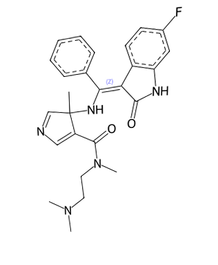 CN(C)CCN(C)C(=O)C1=CN=CC1(C)N/C(=C1\C(=O)Nc2cc(F)ccc21)c1ccccc1